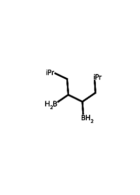 BC(CC(C)C)C(B)CC(C)C